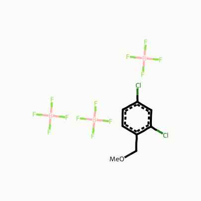 COCc1ccc(Cl)cc1Cl.F[B-](F)(F)F.F[B-](F)(F)F.F[B-](F)(F)F